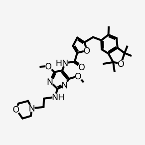 COc1nc(NCCN2CCOCC2)nc(OC)c1NC(=O)c1ccc(Cc2cc3c(cc2C)C(C)(C)OC3(C)C)o1